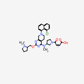 CN1CCCC1COc1nc2c(c(N(C)C3CCN(C(=O)/C=C\C(=O)O)C3)n1)CCN(c1cccc3cccc(Cl)c13)C2